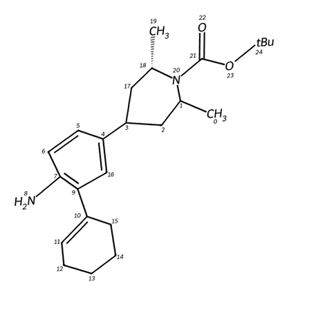 CC1CC(c2ccc(N)c(C3=CCCCC3)c2)C[C@H](C)N1C(=O)OC(C)(C)C